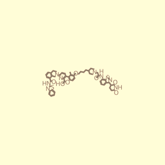 Cc1c(OCCCCC2CCN(CC(=O)Nc3cccc4c(C5CCC(=O)NC5=O)nn(C)c34)CC2)cccc1-c1ccc(N2CCc3cccc(C(=O)Nc4nc5ccccc5s4)c3C2)nc1C(=O)O